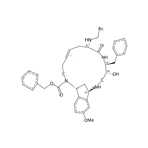 COc1ccc2c(c1)[C@@H]1CC2N(C(=O)OCc2ccccc2)CC/C=C\C[C@H](NCC(C)=O)C(=O)N[C@@H](Cc2ccccc2)[C@H](O)CN1